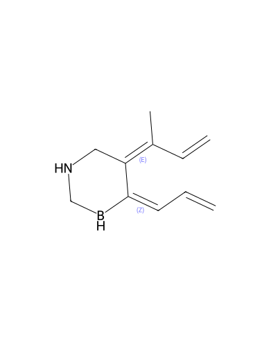 C=C/C=C1/BCNC/C1=C(\C)C=C